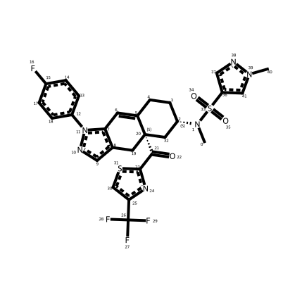 CN([C@H]1CCC2=Cc3c(cnn3-c3ccc(F)cc3)C[C@]2(C(=O)c2nc(C(F)(F)F)cs2)C1)S(=O)(=O)c1cnn(C)c1